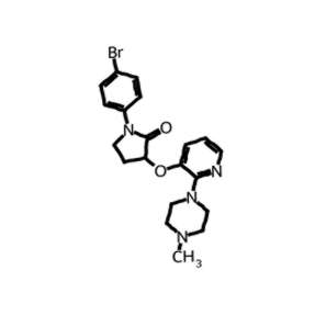 CN1CCN(c2ncccc2OC2CCN(c3ccc(Br)cc3)C2=O)CC1